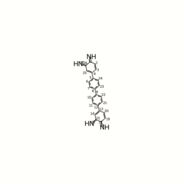 N=C1C=CC(c2ccc(-c3ccc(C4=CC(=N)C(=N)C=C4)cc3)cc2)=CC1=N